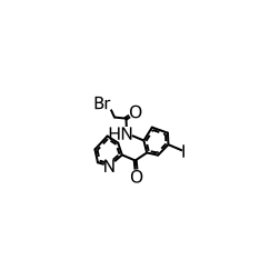 O=C(CBr)Nc1ccc(I)cc1C(=O)c1ccccn1